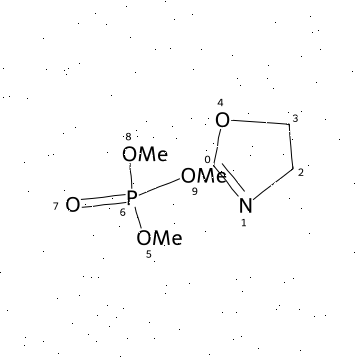 C1=NCCO1.COP(=O)(OC)OC